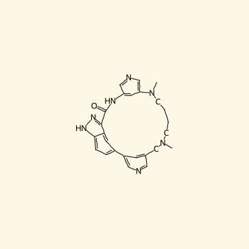 CN1CCCCN(C)c2cncc(c2)NC(=O)c2n[nH]c3ccc(cc23)-c2cncc(c2)C1